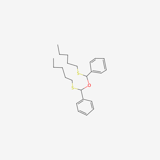 CCCCCSC(OC(SCCCCC)c1ccccc1)c1ccccc1